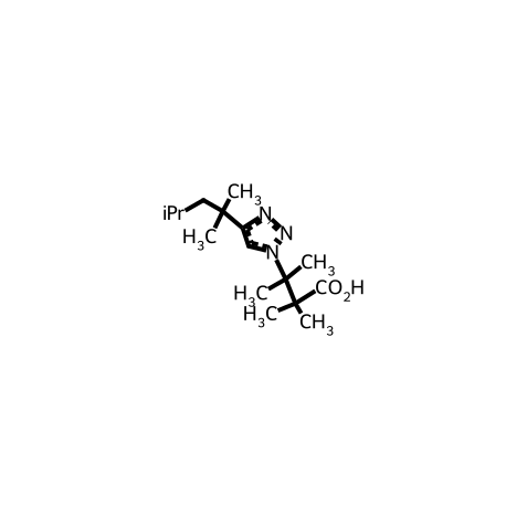 CC(C)CC(C)(C)c1cn(C(C)(C)C(C)(C)C(=O)O)nn1